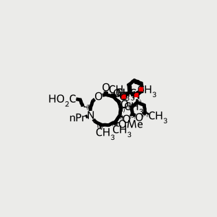 CCCN1C[C@H](C)C[C@@](C)(OC)[C@H](O[C@@H]2O[C@H](C)C[C@H](N(C)C)[C@H]2OC(=O)c2ccccc2)[C@@H](C)C(=O)C(C)(C)C(=O)OC[C@H]1CCC(=O)O